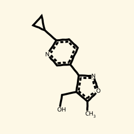 Cc1onc(-c2ccc(C3CC3)nc2)c1CO